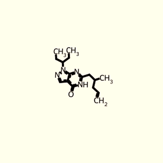 C=CCC(C)Cc1nc2c(cnn2C(CC)CC)c(=O)[nH]1